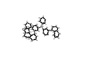 c1ccc(N(c2cccc(-c3cccc4ccccc34)c2)c2cccc(-c3cccc4ccc5oc6ccccc6c5c34)c2)cc1